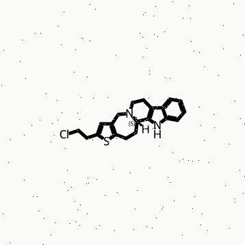 ClCCc1cc2c(s1)CC[C@H]1c3[nH]c4ccccc4c3CCN1C2